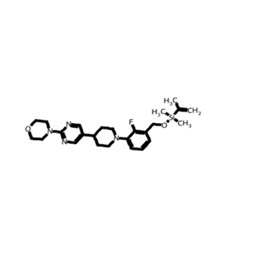 C=C(C)[Si](C)(C)OCc1cccc(N2CCC(c3cnc(N4CCOCC4)nc3)CC2)c1F